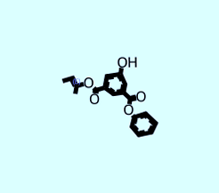 C/C=C(\C)OC(=O)c1cc(O)cc(C(=O)Oc2ccccc2)c1